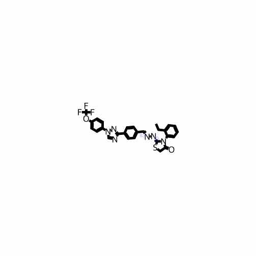 CCc1ccccc1N1C(=O)CS/C1=N\N=C\c1ccc(-c2ncn(-c3ccc(OC(F)(F)F)cc3)n2)cc1